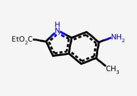 CCOC(=O)c1cc2cc(C)c(N)cc2[nH]1